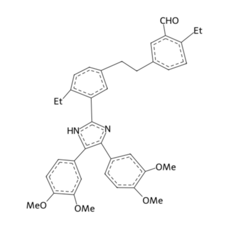 CCc1ccc(CCc2ccc(CC)c(-c3nc(-c4ccc(OC)c(OC)c4)c(-c4ccc(OC)c(OC)c4)[nH]3)c2)cc1C=O